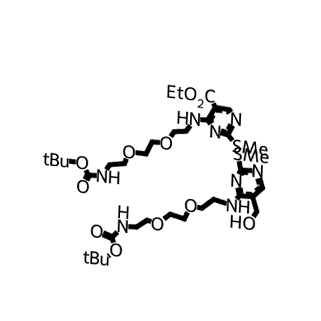 CCOC(=O)c1cnc(SC)nc1NCCOCCOCCNC(=O)OC(C)(C)C.CSc1ncc(CO)c(NCCOCCOCCNC(=O)OC(C)(C)C)n1